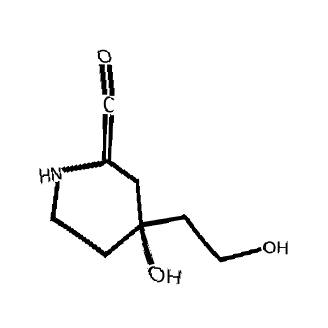 O=C=C1CC(O)(CCO)CCN1